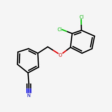 N#Cc1cccc(COc2cccc(Cl)c2Cl)c1